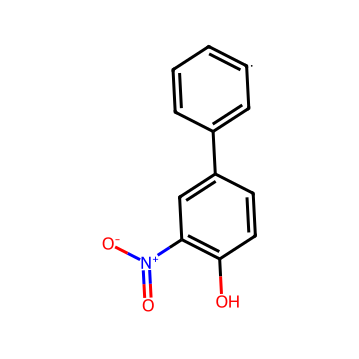 O=[N+]([O-])c1cc(-c2c[c]ccc2)ccc1O